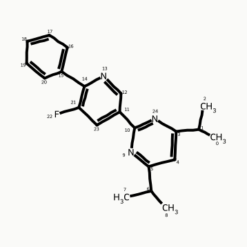 CC(C)c1cc(C(C)C)nc(-c2cnc(-c3ccccc3)c(F)c2)n1